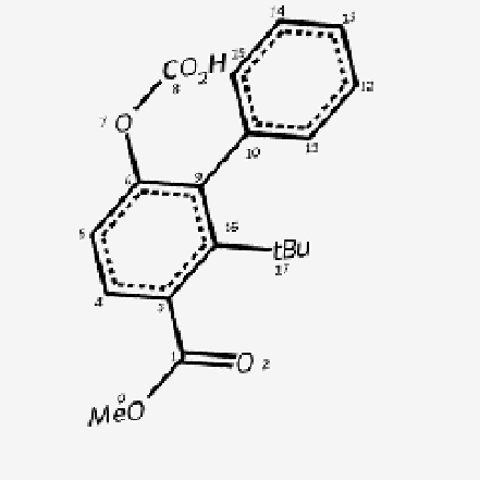 COC(=O)c1ccc(OC(=O)O)c(-c2ccccc2)c1C(C)(C)C